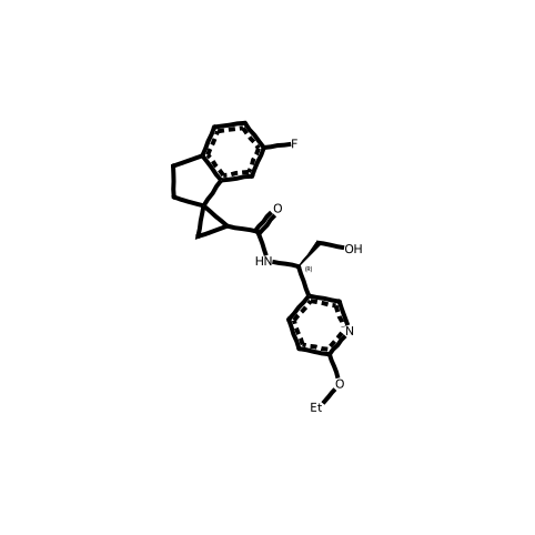 CCOc1ccc([C@H](CO)NC(=O)C2CC23CCc2ccc(F)cc23)cn1